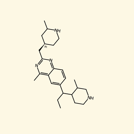 CCC(c1ccc2nc(C[C@@H]3CCNC(C)C3)nc(C)c2c1)C1CCNCC1C